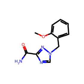 COc1ccccc1Cn1cnc(C(N)=O)n1